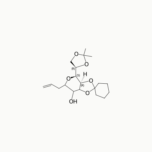 C=CCC1O[C@@H]([C@H]2COC(C)(C)O2)[C@H]2OC3(CCCCC3)OC2C1O